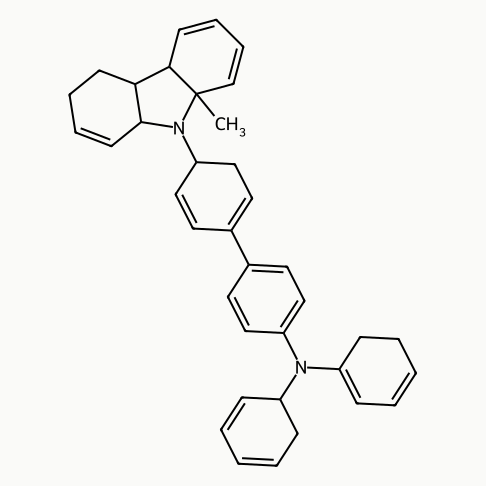 CC12C=CC=CC1C1CCC=CC1N2C1C=CC(c2ccc(N(C3=CC=CCC3)C3C=CC=CC3)cc2)=CC1